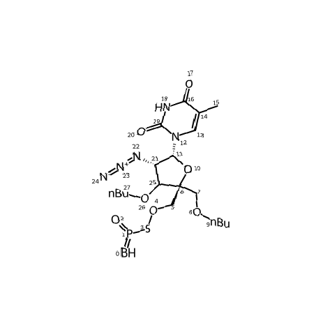 B=P(=O)SOC[C@]1(COCCCC)O[C@@H](n2cc(C)c(=O)[nH]c2=O)[C@@H](N=[N+]=[N-])C1OCCCC